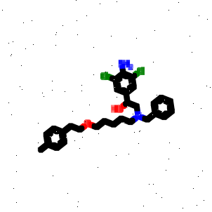 Cc1ccc(CCOCCCCCN(Cc2ccccc2)CC(O)c2cc(Cl)c(N)c(Cl)c2)cc1